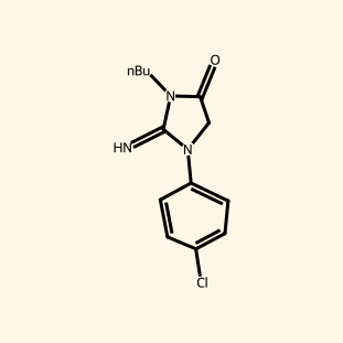 CCCCN1C(=N)N(c2ccc(Cl)cc2)CC1=O